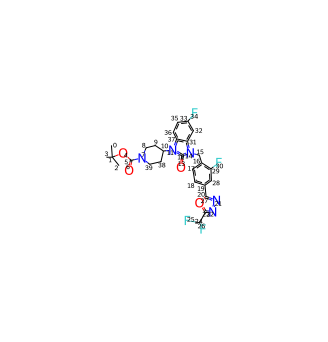 CC(C)(C)OC(=O)N1CCC(n2c(=O)n(Cc3ccc(-c4nnc(C(F)F)o4)cc3F)c3cc(F)ccc32)CC1